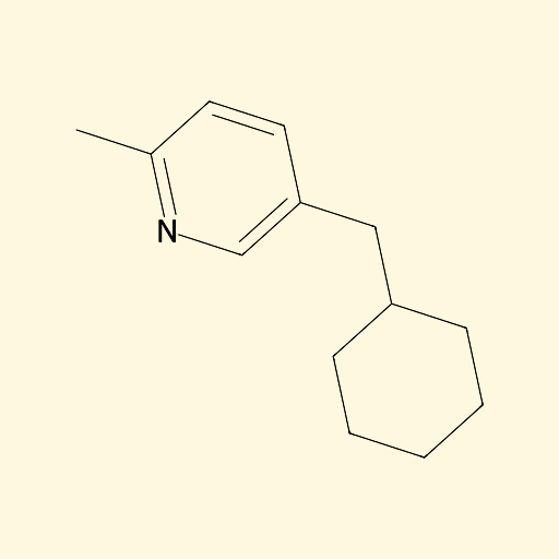 Cc1ccc(CC2CCCCC2)cn1